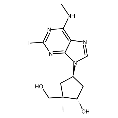 CNc1nc(I)nc2c1ncn2[C@H]1C[C@H](O)[C@@](C)(CO)C1